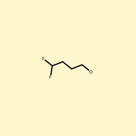 [O]CCCC(F)F